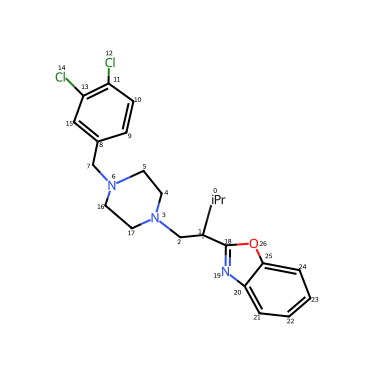 CC(C)[C](CN1CCN(Cc2ccc(Cl)c(Cl)c2)CC1)c1nc2ccccc2o1